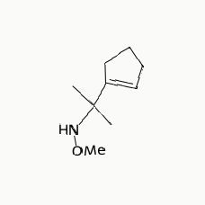 CONC(C)(C)C1=CCCC1